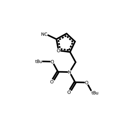 CC(C)(C)OC(=O)N(Cc1ccc(C#N)o1)C(=O)OC(C)(C)C